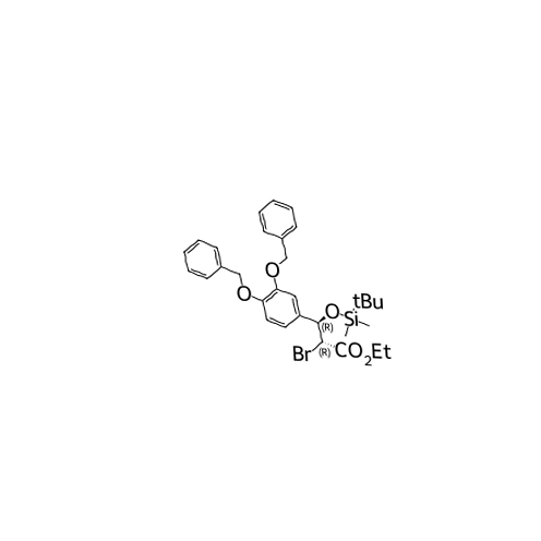 CCOC(=O)[C@H](Br)[C@H](O[Si](C)(C)C(C)(C)C)c1ccc(OCc2ccccc2)c(OCc2ccccc2)c1